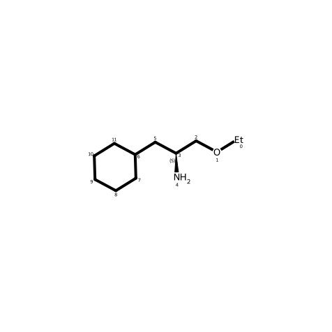 CCOC[C@@H](N)CC1CCCCC1